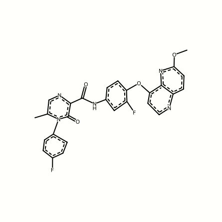 COc1ccc2nccc(Oc3ccc(NC(=O)c4ncc(C)n(-c5ccc(F)cc5)c4=O)cc3F)c2n1